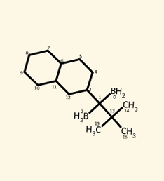 BC(B)(C1CCC2CCCCC2C1)C(C)(C)C